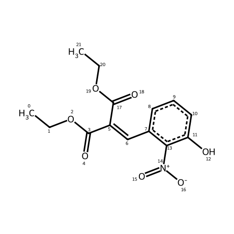 CCOC(=O)C(=Cc1cccc(O)c1[N+](=O)[O-])C(=O)OCC